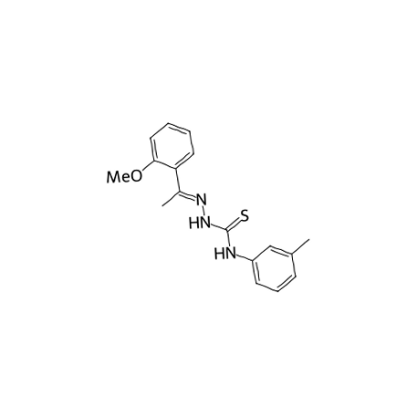 COc1ccccc1/C(C)=N/NC(=S)Nc1cccc(C)c1